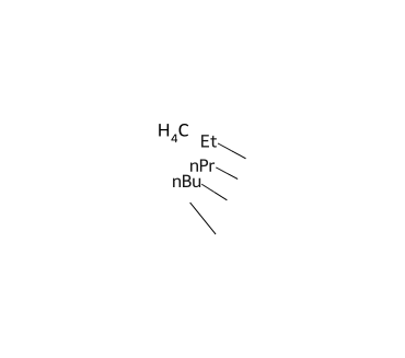 C.CC.CCC.CCCC.CCCCC